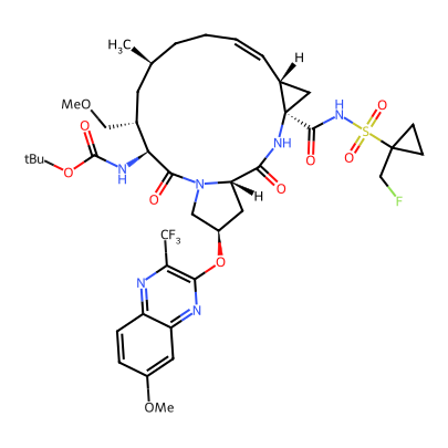 COC[C@@H]1C[C@@H](C)CC/C=C\[C@@H]2C[C@@]2(C(=O)NS(=O)(=O)C2(CF)CC2)NC(=O)[C@@H]2C[C@@H](Oc3nc4cc(OC)ccc4nc3C(F)(F)F)CN2C(=O)[C@H]1NC(=O)OC(C)(C)C